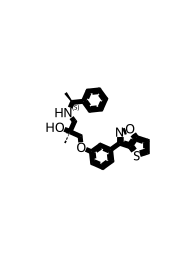 C[C@H](NC[C@](C)(O)COc1cccc(-c2noc3ccsc23)c1)c1ccccc1